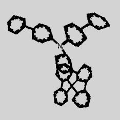 c1ccc(-c2ccc(N(c3ccc(-c4ccccc4)cc3)c3cccc(-c4cccc5c4C4(c6ccccc6-c6ccccc64)c4ccccc4-5)c3)cc2)cc1